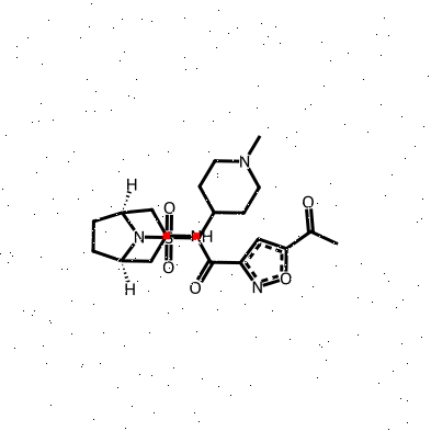 CC(=O)c1cc(C(=O)NC2C[C@H]3CC[C@@H](C2)N3S(=O)(=O)CC2CCN(C)CC2)no1